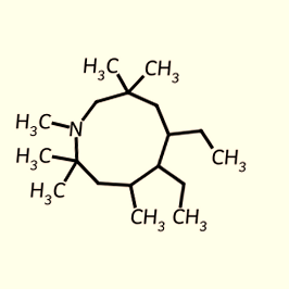 CCC1CC(C)(C)CN(C)C(C)(C)CC(C)C1CC